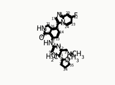 C=C(/C(CN(C)C)=N\C(=C/C)Nc1ccc(-c2cnc3cc(F)ccn23)c2c1C(=O)NC2)[C@H]1CCCO1